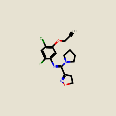 C#CCOc1cc(N=C(C2=NOCC2)N2CCCC2)c(F)cc1Cl